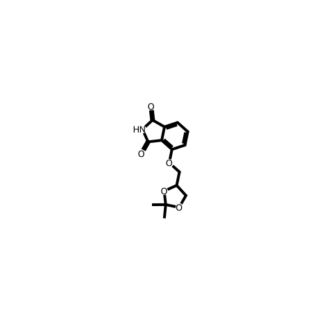 CC1(C)OCC(COc2cccc3c2C(=O)NC3=O)O1